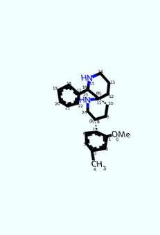 COc1cc(C)ccc1[C@H]1CC[C@]2(CCCNC2c2ccccc2)NC1